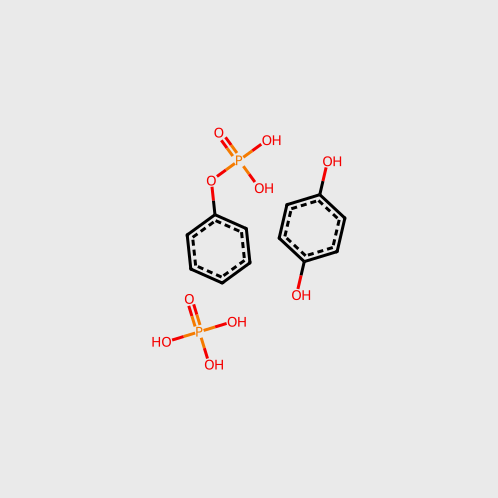 O=P(O)(O)O.O=P(O)(O)Oc1ccccc1.Oc1ccc(O)cc1